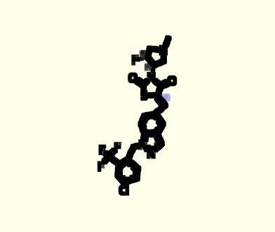 CN1C[C@@H](F)[C@@H](N2C(=O)S/C(=C\c3ccc4c(cnn4Cc4ccc(Cl)cc4C(F)(F)F)c3)C2=O)C1